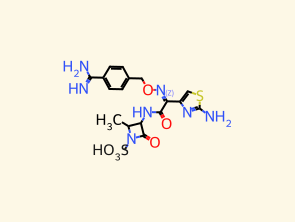 CC1C(NC(=O)/C(=N\OCc2ccc(C(=N)N)cc2)c2csc(N)n2)C(=O)N1S(=O)(=O)O